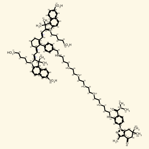 Cc1nn(-c2ccc(C(=O)N(C)C)c(NCCCOCCOCCOCCOCCOCCCNCc3ccc(C4=C(/C=C/C5=[N+](CCCCS(=O)(=O)O)c6ccc7cc(S(=O)(=O)O)ccc7c6C5(C)C)CCC/C4=C\C=C4\N(CCCCS(=O)(=O)O)c5ccc6cc(S(=O)(=O)O)ccc6c5C4(C)C)cc3)c2)c2c1C(=O)CC(C)(C)C2